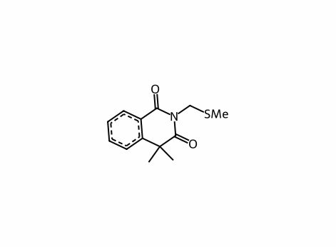 CSCN1C(=O)c2ccccc2C(C)(C)C1=O